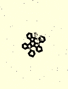 CC1(C)c2ccccc2-c2c1c1c(c3ccccc3n1-c1cccnc1)c1c2c2ccccc2n1-c1ccccc1